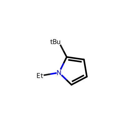 CCn1cccc1C(C)(C)C